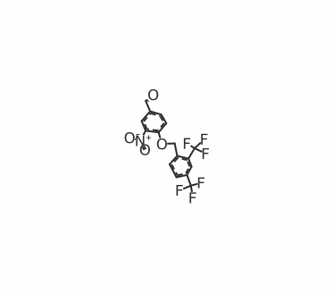 O=Cc1ccc(OCc2ccc(C(F)(F)F)cc2C(F)(F)F)c([N+](=O)[O-])c1